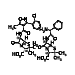 CC1(C)S[C@@H]2[C@H](NC(=O)C(N)c3ccccc3)C(=O)N2[C@@H]1C(=O)O.Cc1onc(-c2ccccc2Cl)c1C(=O)N[C@@H]1C(=O)N2[C@@H]1SC(C)(C)[C@@H]2C(=O)O